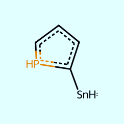 [SnH][c]1ccc[pH]1